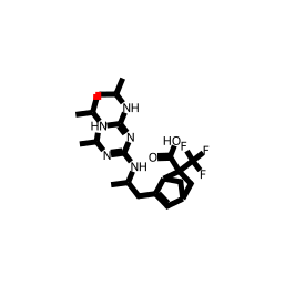 CC(C)/N=C(\N=C(NC(C)C)NC(C)C)NC(C)CC1=CC2CC1C(C(=O)O)(C(F)(F)F)C2